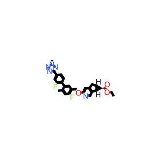 CCOC(=O)[C@H]1[C@@H]2Cc3cc(OCc4cc(-c5ccc(-c6nnn(C)n6)cc5F)c(C)cc4F)ncc3[C@@H]21